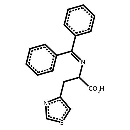 O=C(O)C(Cc1cscn1)N=C(c1ccccc1)c1ccccc1